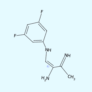 CC(=N)/C(N)=C\Nc1cc(F)cc(F)c1